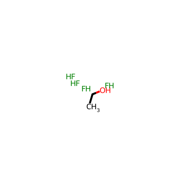 CCO.F.F.F.F